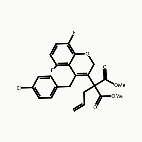 C=CCC(C(=O)OC)(C(=O)OC)C1=C(Cc2ccc(Cl)cc2)c2c(F)ccc(F)c2OC1